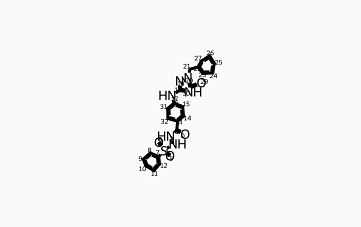 O=C(NNS(=O)(=O)c1ccccc1)c1ccc(Nc2nn(Cc3ccccc3)c(=O)[nH]2)cc1